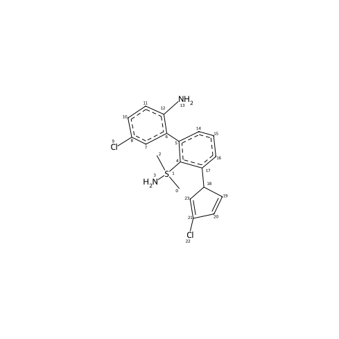 CS(C)(N)c1c(-c2cc(Cl)ccc2N)cccc1C1C=CC(Cl)=C1